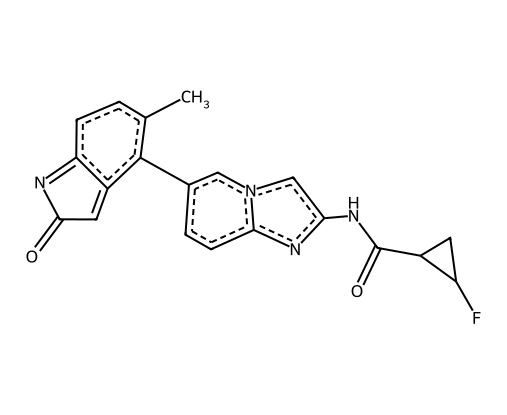 Cc1ccc2c(c1-c1ccc3nc(NC(=O)C4CC4F)cn3c1)=CC(=O)N=2